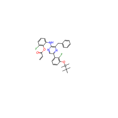 C=CC(=O)Oc1c(F)cccc1Nc1ncc(-c2cccc(O[Si](C)(C)C(C)(C)C)c2F)nc1Cc1ccccc1